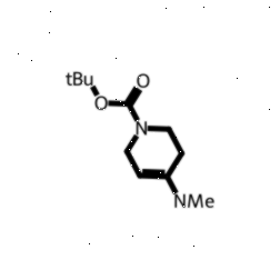 CNC1=CCN(C(=O)OC(C)(C)C)CC1